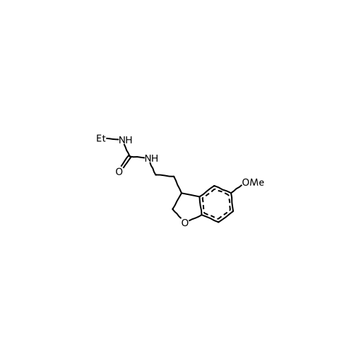 CCNC(=O)NCCC1COc2ccc(OC)cc21